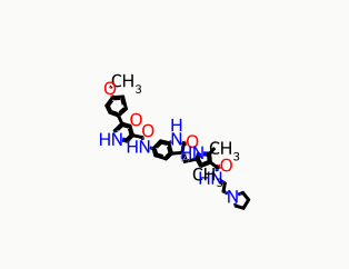 COc1ccc(-c2c[nH]cc(C(=O)Nc3ccc4c(c3)NC(=O)/C4=C\c3[nH]c(C)c(C(=O)NCCN4CCCC4)c3C)c2=O)cc1